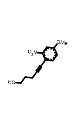 COc1ccc(C#CCCCO)c([N+](=O)[O-])c1